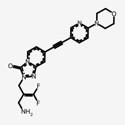 NCC(Cn1nc2cc(C#Cc3ccc(N4CCOCC4)nc3)ccn2c1=O)=C(F)F